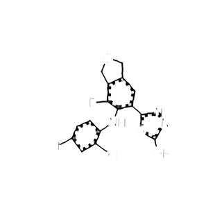 Oc1nnc(-c2cc3c(c(F)c2Nc2ccc(I)cc2Cl)COC3)o1